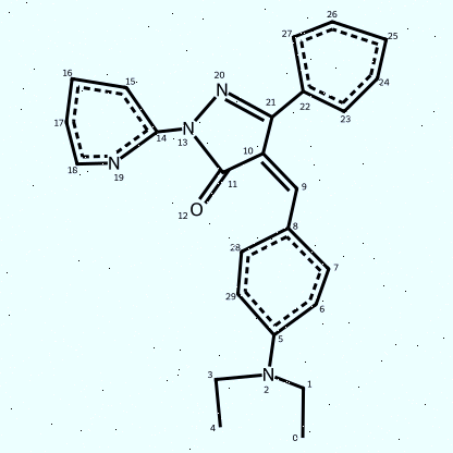 CCN(CC)c1ccc(C=C2C(=O)N(c3ccccn3)N=C2c2ccccc2)cc1